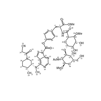 COC(=O)[C@H](Cc1ccc(OC(=O)n2ccc3c(N(C)[C@H]4CN(C(=O)CC#N)CC[C@H]4C)ncnc32)cc1)NC(=O)C1O[C@@H](O[C@@H]2C(NC(C)=O)[C@H](OC)OC(CO)[C@H]2O)C(O)[C@@H](O)[C@@H]1OC